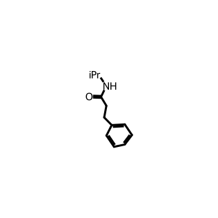 CC(C)NC(=O)CCc1ccccc1